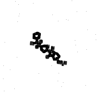 CCN(c1ccccc1)S(=O)(=O)c1ccc(-n2[nH]c3c(c2=O)CN(C(=O)O)CC3)nc1